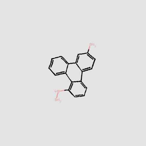 BBc1cccc2c3ccc(B)cc3c3ccccc3c12